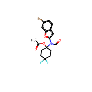 CC(=O)OC1(N(C=O)c2cc3ccc(Br)cc3o2)CCC(F)(F)CC1